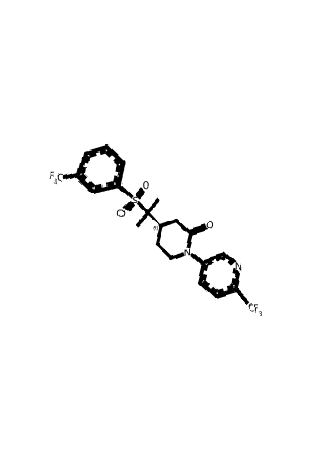 CC(C)([C@@H]1CCN(c2ccc(C(F)(F)F)nc2)C(=O)C1)S(=O)(=O)c1cccc(C(F)(F)F)c1